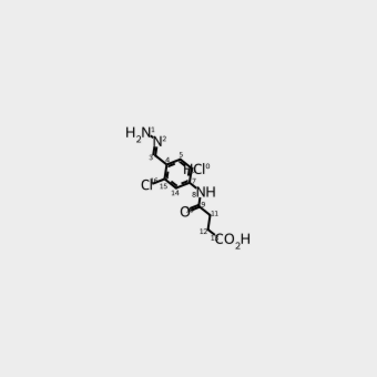 Cl.NN=Cc1ccc(NC(=O)CCC(=O)O)cc1Cl